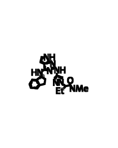 CCC(C(=O)NC)n1cc(Nc2nc(N[C@H]3CCc4ccccc43)c3cc[nH]c3n2)cn1